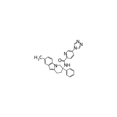 Cc1ccc2c(c1)cc1n2C[C@@](NC(=O)c2ccc(-n3cnnc3)cn2)(c2ccccc2)CC1